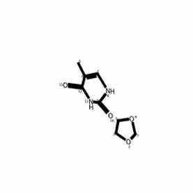 C1COCO1.Cc1c[nH]c(=O)[nH]c1=O